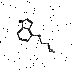 C=CCOc1cccc2[nH]ccc12